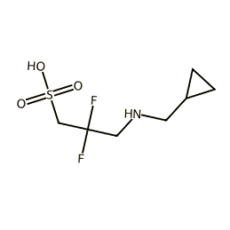 O=S(=O)(O)CC(F)(F)CNCC1CC1